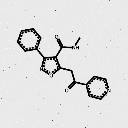 CNC(=O)c1c(-c2ccccc2)noc1CC(=O)c1ccncc1